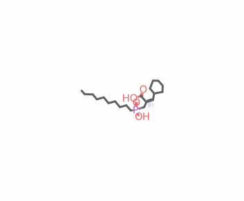 CCCCCCCCCCP(=O)(O)C/C(=C/C1CCCCC1)C(=O)O